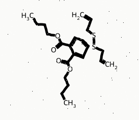 C=CCSSCC=C.CCCCOC(=O)c1ccccc1C(=O)OCCCC